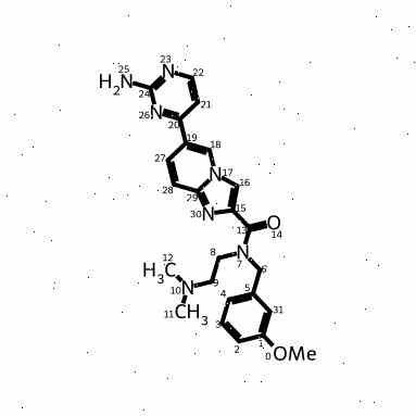 COc1cccc(CN(CCN(C)C)C(=O)c2cn3cc(-c4ccnc(N)n4)ccc3n2)c1